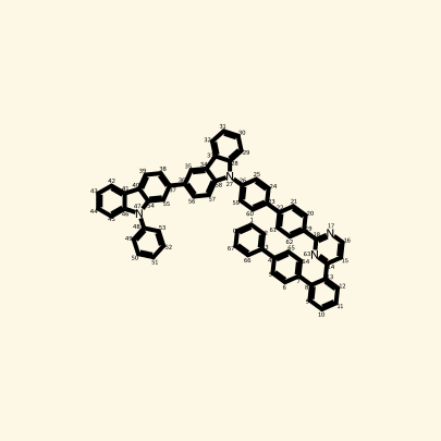 c1ccc(-c2ccc(-c3ccccc3-c3ccnc(-c4ccc(-c5ccc(-n6c7ccccc7c7cc(-c8ccc9c%10ccccc%10n(-c%10ccccc%10)c9c8)ccc76)cc5)cc4)n3)cc2)cc1